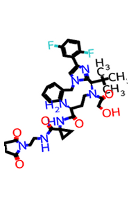 CC(C)(C)[C@H](c1nc(-c2cc(F)ccc2F)cn1Cc1ccccc1)N(CC[C@H](N)C(=O)NC1(C(=O)NCCN2C(=O)C=CC2=O)CC1)C(=O)CO